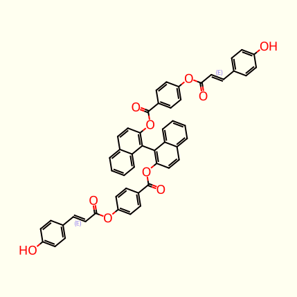 O=C(/C=C/c1ccc(O)cc1)Oc1ccc(C(=O)Oc2ccc3ccccc3c2-c2c(OC(=O)c3ccc(OC(=O)/C=C/c4ccc(O)cc4)cc3)ccc3ccccc23)cc1